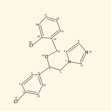 Clc1ccc(C(Cn2ccnc2)OCc2ccccc2Cl)cc1